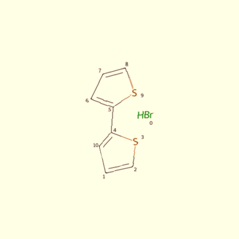 Br.c1csc(-c2cccs2)c1